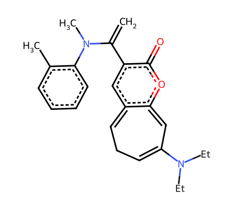 C=C(c1cc2c(oc1=O)=CC(N(CC)CC)=CCC=2)N(C)c1ccccc1C